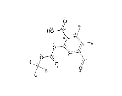 Cc1c(C=O)cc(OC(=O)OC(C)(C)C)c(C(=O)O)c1C